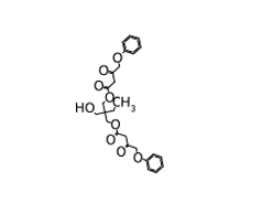 CCC(CO)(COC(=O)CC(=O)COc1ccccc1)COC(=O)CC(=O)COc1ccccc1